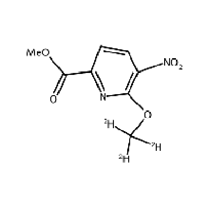 [2H]C([2H])([2H])Oc1nc(C(=O)OC)ccc1[N+](=O)[O-]